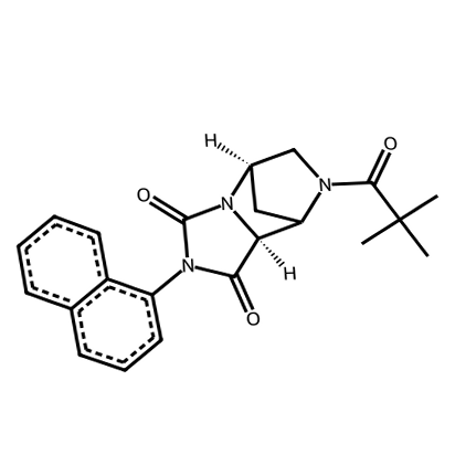 CC(C)(C)C(=O)N1C[C@H]2CC1[C@H]1C(=O)N(c3cccc4ccccc34)C(=O)N21